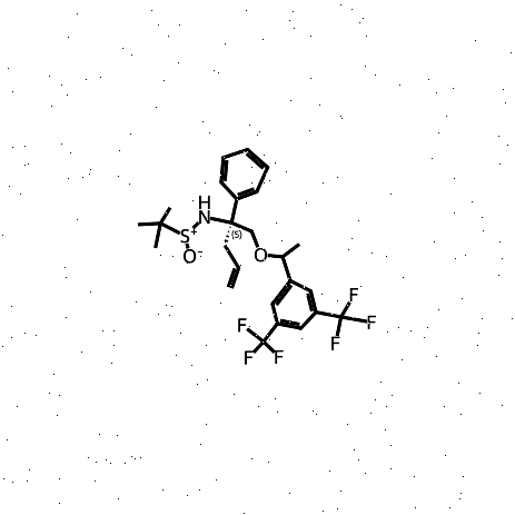 C=CC[C@](COC(C)c1cc(C(F)(F)F)cc(C(F)(F)F)c1)(N[S+]([O-])C(C)(C)C)c1ccccc1